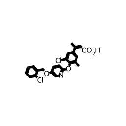 C/C(=C/C(=O)O)c1cc(C)c(Oc2ccc(OCc3ccccc3Cl)cn2)c(Cl)c1